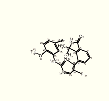 CC1(C)NC(=O)c2cccc(-c3nc(Nc4cc(Br)ccc4OC(F)(F)F)ncc3F)c21